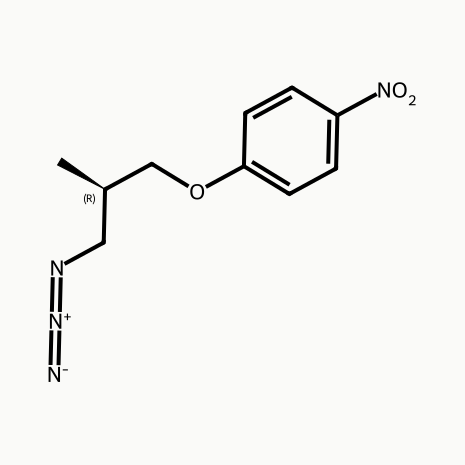 C[C@H](CN=[N+]=[N-])COc1ccc([N+](=O)[O-])cc1